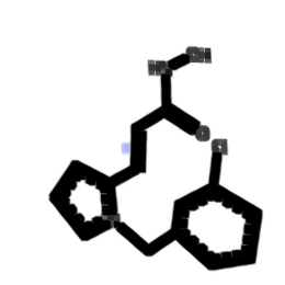 O=C(/C=C/c1cccn1Cc1cccc(Cl)c1)NO